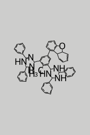 Cc1c(C2N=C(c3ccccc3)NC(c3ccccc3)N2)cc(-c2cccc3c2C2C=CC=CC2O3)cc1C1NC(c2ccccc2)NC(c2ccccc2)N1